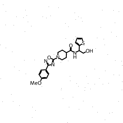 COc1ccc(-c2noc(N3CCC(C(=O)NC(CO)c4cccs4)CC3)n2)cc1